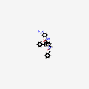 N[C@H]1CC[C@H](NC(=O)C23CC4CC(c5ccccc5)(CC(C2)C42CN2OCc2ccccc2)C3)CC1